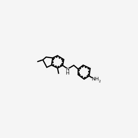 Cc1c(NCc2ccc(N)cc2)ccc2c1CC(C)C2